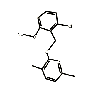 Cc1ccc(C)c(OCc2c(Cl)cccc2OC#N)n1